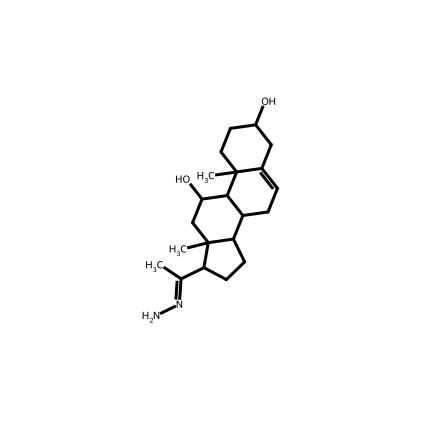 C/C(=N\N)C1CCC2C3CC=C4CC(O)CCC4(C)C3C(O)CC12C